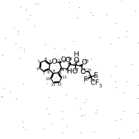 O=C1Oc2ccccc2-c2ccccc2[C@@H]1CC(=O)C(O)(O)C(=O)OCC(F)(F)C(F)(F)F